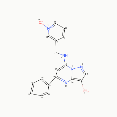 Bc1cnn2c(NCc3ccc[n+]([O-])c3)cc(-c3ccccc3)nc12